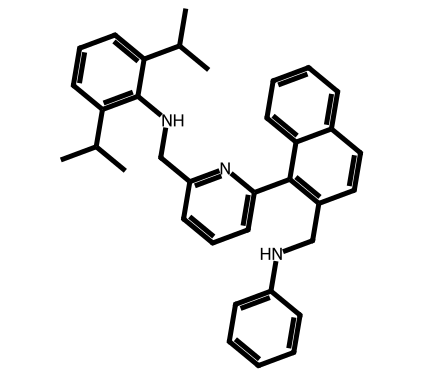 CC(C)c1cccc(C(C)C)c1NCc1cccc(-c2c(CNc3ccccc3)ccc3ccccc23)n1